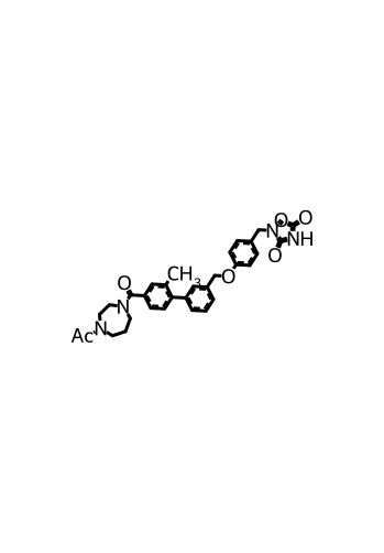 CC(=O)N1CCCN(C(=O)c2ccc(-c3cccc(COc4ccc(Cn5oc(=O)[nH]c5=O)cc4)c3)c(C)c2)CC1